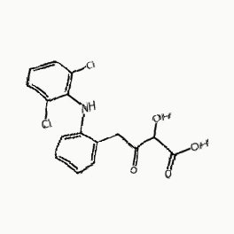 O=C(O)C(O)C(=O)Cc1ccccc1Nc1c(Cl)cccc1Cl